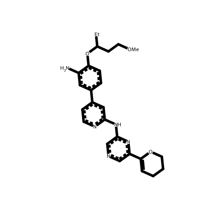 CCC(CCOC)Oc1ccc(-c2ccnc(Nc3cncc(C4=CCCCO4)n3)c2)cc1N